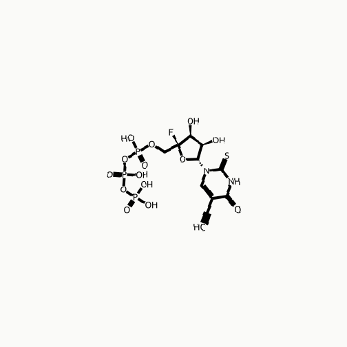 C#Cc1cn([C@@H]2O[C@](F)(COP(=O)(O)OP(=O)(O)OP(=O)(O)O)[C@@H](O)[C@H]2O)c(=S)[nH]c1=O